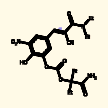 CCN(CC)C(=O)/C(C#N)=C/c1cc(OC(=O)OC(CC)(CC)C(N)=O)c(O)c([N+](=O)[O-])c1